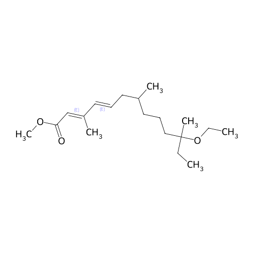 CCOC(C)(CC)CCCC(C)C/C=C/C(C)=C/C(=O)OC